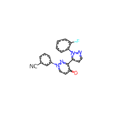 N#Cc1cccc(-n2ccc(=O)c(-c3ccnn3-c3ccccc3F)n2)c1